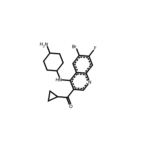 NC1CCC(Nc2c(C(=O)C3CC3)cnc3cc(F)c(Br)cc23)CC1